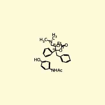 CC(=O)Nc1ccc(O)cc1.CCC(=O)O[C@](Cc1ccccc1)(c1ccccc1)[C@H](C)CN(C)C